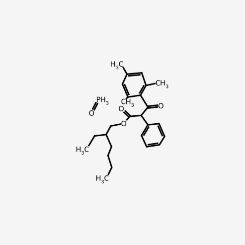 CCCCC(CC)COC(=O)C(C(=O)c1c(C)cc(C)cc1C)c1ccccc1.O=[PH3]